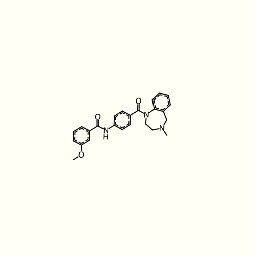 COc1cccc(C(=O)Nc2ccc(C(=O)N3CCN(C)Cc4ccccc43)cc2)c1